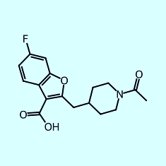 CC(=O)N1CCC(Cc2oc3cc(F)ccc3c2C(=O)O)CC1